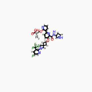 CCOc1ncccc1-c1ccc(OC2CC3(C2)CN(c2ncc(F)cc2C(F)(F)F)C3)c(C(=O)N[C@@H]2CCNC2)n1.O=CO